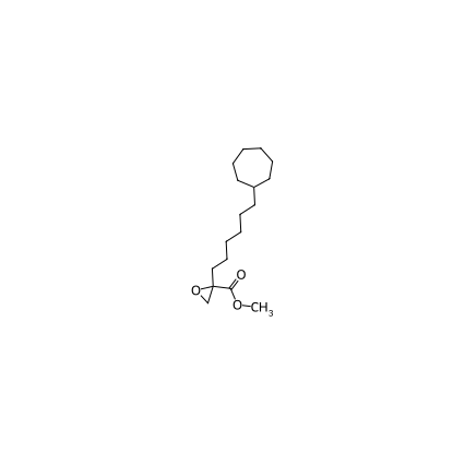 COC(=O)C1(CCCCCCC2CCCCCC2)CO1